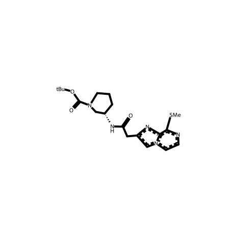 CSc1nccn2cc(CC(=O)N[C@H]3CCCN(C(=O)OC(C)(C)C)C3)nc12